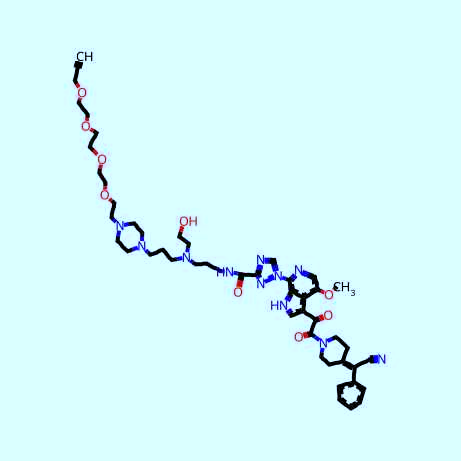 C#CCOCCOCCOCCOCCN1CCN(CCCN(CCO)CCCNC(=O)c2ncn(-c3ncc(OC)c4c(C(=O)C(=O)N5CCC(=C(C#N)c6ccccc6)CC5)c[nH]c34)n2)CC1